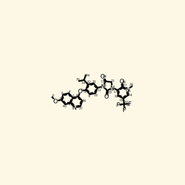 COc1ccc2c(Oc3ccc(N4C(=O)CN(c5cc(C(F)(F)F)cn(C)c5=O)C4=O)cc3C(C)C)ccnc2c1